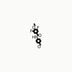 CCOc1c(F)cc(C(=O)Nc2ccc(C=O)cc2)cc1F